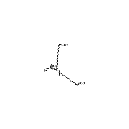 CCCCCCCC/C=C\CCCCCCCCCCCC(=O)OCC(COP(=O)(O)OCC[N+](C)(C)C)OC(=O)CCCCCCCCCCC/C=C\CCCCCCCC